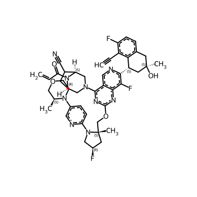 C#Cc1c(F)ccc2c1[C@@H](c1ncc3c(N4C[C@H]5CC(C#N)[C@@H](C4)N5C(=O)C=C)nc(OC[C@]4(C)C[C@@H](F)CN4c4ccc(N5CCOC[C@@H]5C)cn4)nc3c1F)C[C@](C)(O)C2